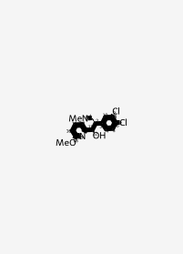 CNC[C@H](c1ccc(Cl)c(Cl)c1)[C@H](O)c1cccc(OC)n1